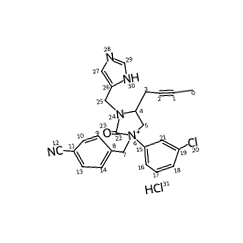 CC#CCC1C[N+](Cc2ccc(C#N)cc2)(c2cccc(Cl)c2)C(=O)N1Cc1cnc[nH]1.Cl